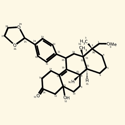 COC[C@]1(C)CCC[C@H]2[C@@H]3CCC4(O)CC(=O)CCC4=C3C(c3ccc(C4OCCO4)cc3)C[C@@]21C